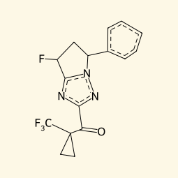 O=C(c1nc2n(n1)C(c1ccccc1)CC2F)C1(C(F)(F)F)CC1